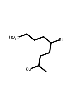 CCC(CCCC(=O)O)CCC(C)C(C)CC